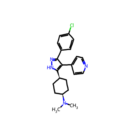 CN(C)[C@H]1CC[C@@H](c2[nH]nc(-c3ccc(Cl)cc3)c2-c2ccncc2)CC1